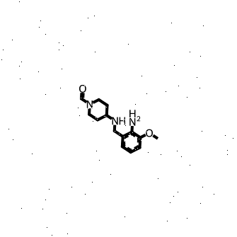 COc1cccc(CNC2CCN(C=O)CC2)c1N